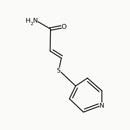 NC(=O)C=CSc1ccncc1